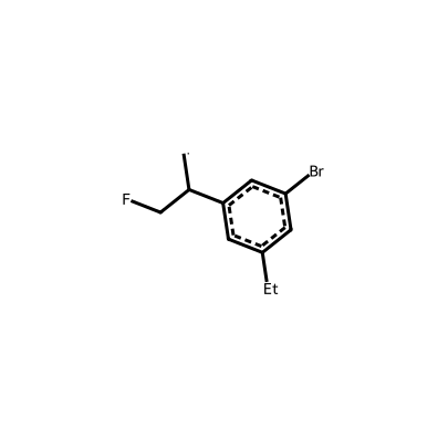 [CH2]C(CF)c1cc(Br)cc(CC)c1